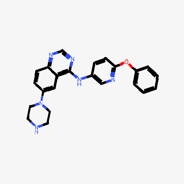 c1ccc(Oc2ccc(Nc3ncnc4ccc(N5CCNCC5)cc34)cn2)cc1